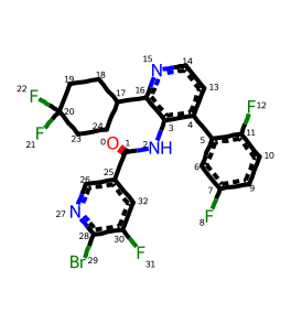 O=C(Nc1c(-c2cc(F)ccc2F)ccnc1C1CCC(F)(F)CC1)c1cnc(Br)c(F)c1